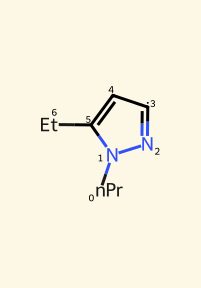 CCCn1n[c]cc1CC